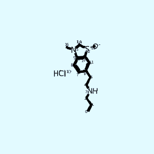 CCCNCCc1ccc2c(c1)[S+]([O-])CN2C.Cl